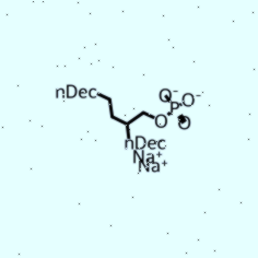 CCCCCCCCCCCCC(CCCCCCCCCC)COP(=O)([O-])[O-].[Na+].[Na+]